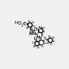 O=C(NCC(=O)N(Cc1ccncc1)[C@@H]1c2ccccc2CC[C@H]1Cc1ccccc1)Nc1cccc(C(=O)O)c1